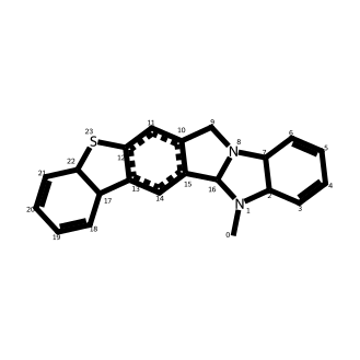 CN1C2C=CC=CC2N2Cc3cc4c(cc3C12)C1C=CC=CC1S4